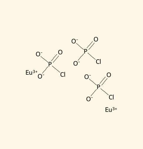 O=P([O-])([O-])Cl.O=P([O-])([O-])Cl.O=P([O-])([O-])Cl.[Eu+3].[Eu+3]